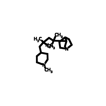 CN1CCC(CC(C)(C)CC(C)(C)C2CN3CCC2CC3)CC1